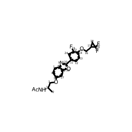 CC(=O)N[C@@H](C)COc1ccc2nc(-c3ccc(OCC4CC4(F)F)c(F)c3)oc2c1